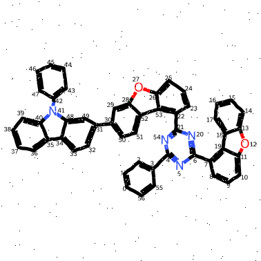 c1ccc(-c2nc(-c3cccc4oc5ccccc5c34)nc(-c3cccc4oc5cc(-c6ccc7c8ccccc8n(-c8ccccc8)c7c6)ccc5c34)n2)cc1